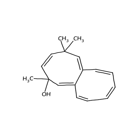 CC1(C)C=CC(C)(O)C=C2C=CC=CC=CC2=C1